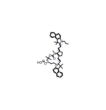 CCCN1/C(=C/C=C2\CCC(/C=C/C3=[N+](CCSOOO)c4ccc5ccccc5c4C3(C)C)=C2N(C)C(=O)OC(C)(C)C)C(C)(C)c2c1ccc1ccccc21